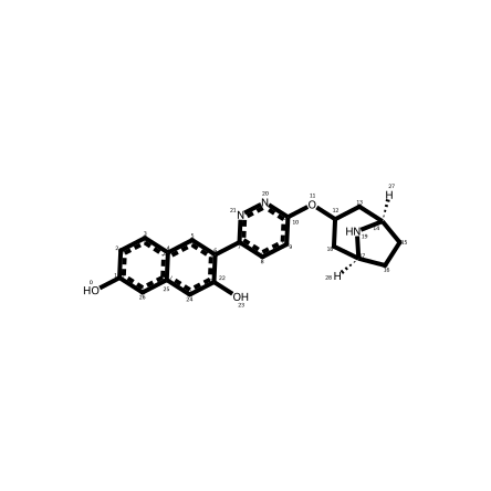 Oc1ccc2cc(-c3ccc(OC4C[C@H]5CC[C@@H](C4)N5)nn3)c(O)cc2c1